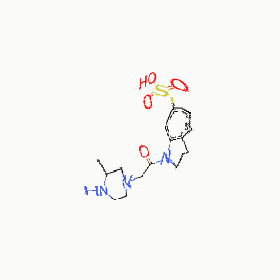 CC1CN(CC(=O)N2CCc3ccc(S(=O)(=O)O)cc32)CCN1